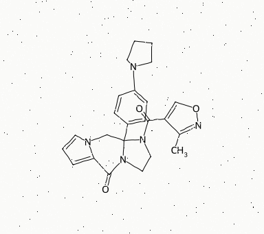 Cc1nocc1C(=O)N1CCN2C(=O)c3cccn3CC12c1ccc(N2CCCC2)cc1